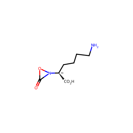 NCCCC[C@@H](C(=O)O)N1OC1=O